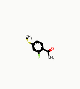 CSc1ccc(C(C)=O)c(F)c1